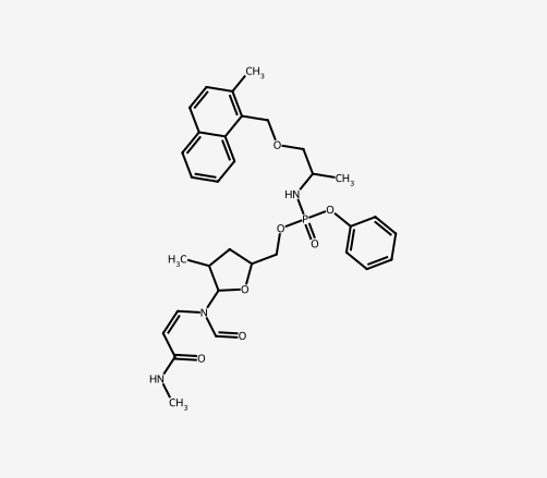 CNC(=O)/C=C\N(C=O)C1OC(COP(=O)(NC(C)COCc2c(C)ccc3ccccc23)Oc2ccccc2)CC1C